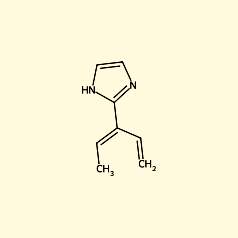 C=C/C(=C\C)c1ncc[nH]1